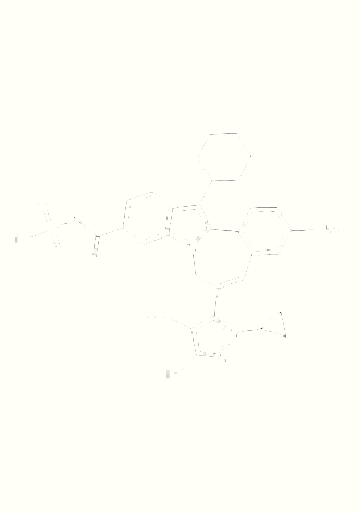 CCOC(=O)c1c(C(C)C)nn(C2CC2)c1C1=Cc2cc(OC)ccc2-c2c(C3CCCCC3)c3ccc(C(=O)NS(=O)(=O)C(C)C)cc3n2C1